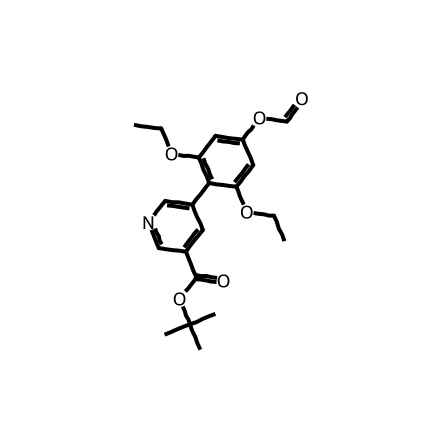 CCOc1cc(OC=O)cc(OCC)c1-c1cncc(C(=O)OC(C)(C)C)c1